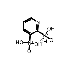 [O-][N+](O)(O)c1cccnc1[N+]([O-])(O)O